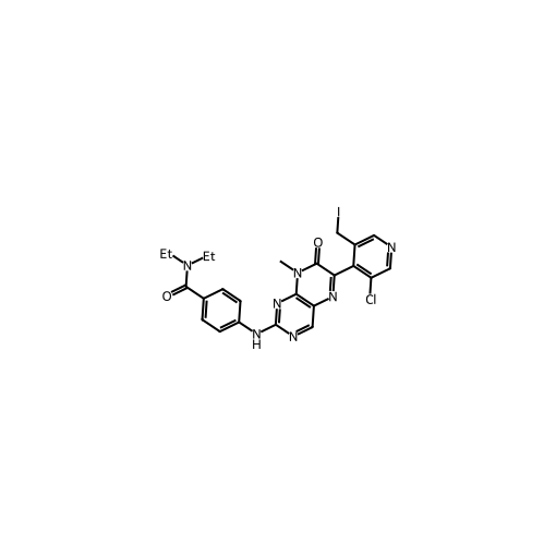 CCN(CC)C(=O)c1ccc(Nc2ncc3nc(-c4c(Cl)cncc4CI)c(=O)n(C)c3n2)cc1